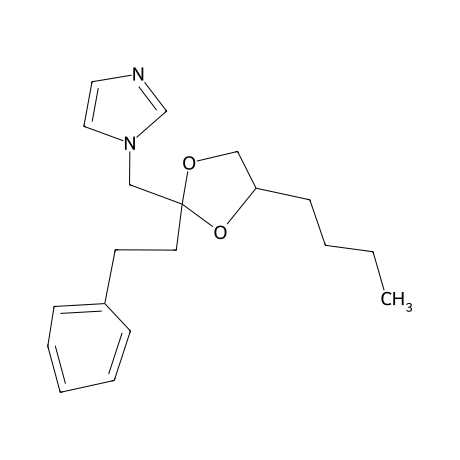 CCCCC1COC(CCc2ccccc2)(Cn2ccnc2)O1